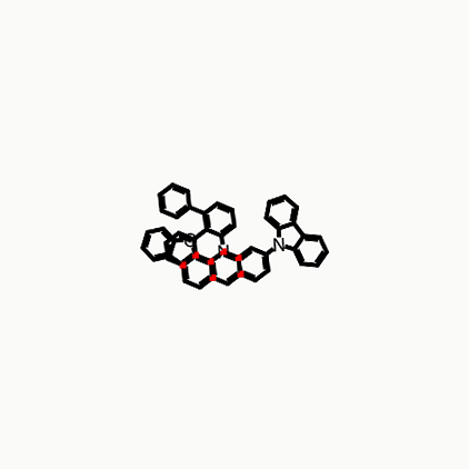 c1ccc(-c2ccccc2-c2c(-c3ccccc3)cccc2N(c2cccc(-n3c4ccccc4c4ccccc43)c2)c2cccc3c2oc2ccccc23)cc1